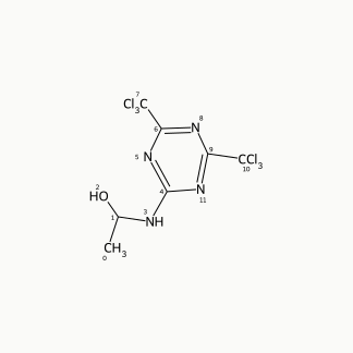 CC(O)Nc1nc(C(Cl)(Cl)Cl)nc(C(Cl)(Cl)Cl)n1